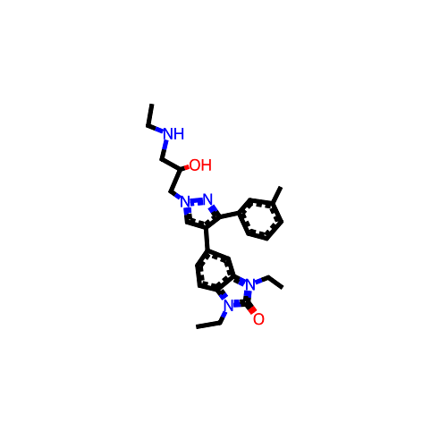 CCNCC(O)Cn1cc(-c2ccc3c(c2)n(CC)c(=O)n3CC)c(-c2cccc(C)c2)n1